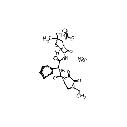 CCN1CCN(C(=O)N[C@@H](C(=O)N[C@@H]2C(=O)N3[C@@H]2SC(C)(C)[C@@H]3C(=O)[O-])c2ccccc2)C(=O)C1=O.[Na+]